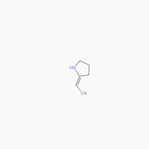 N#C/C=C1\CCCN1